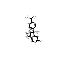 CC(C)c1ccc(C(O)(c2ccnc(Cl)c2)C2(C)CNC2)cc1